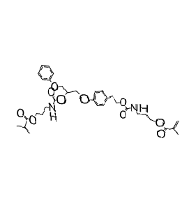 C=C(C)C(=O)OCCCNC(=O)OCCc1ccc(OCC(COc2ccccc2)OC(=O)NCCCOC(=O)C(=C)C)cc1